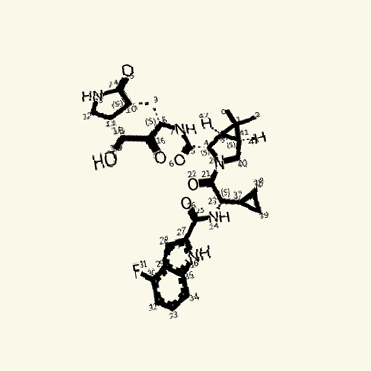 CC1(C)[C@@H]2[C@@H](C(=O)N[C@@H](C[C@@H]3CCNC3=O)C(=O)CO)N(C(=O)[C@@H](NC(=O)c3cc4c(F)cccc4[nH]3)C3CC3)C[C@@H]21